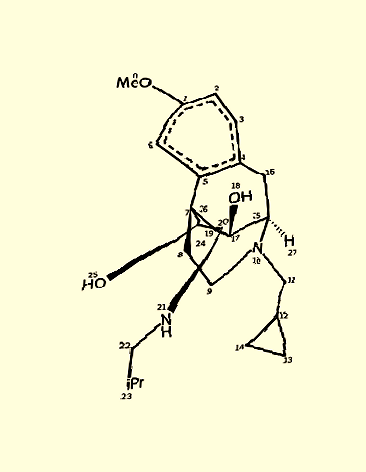 COc1ccc2c(c1)[C@]13CCN(CC4CC4)[C@H](C2)[C@]1(O)C[C@@H](NCC(C)C)[C@@H](O)C3